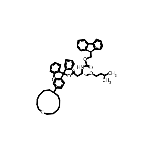 CC(C)CCOC[C@H](CC(=O)OC(c1ccccc1)(c1ccc(C2CCCCCCCCCCCCC2)cc1)c1ccccc1Cl)NC(=O)OCC1c2ccccc2-c2ccccc21